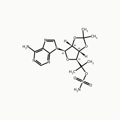 CC1(C)O[C@@H]2[C@H](O1)[C@@H](C(C)(C)OS(N)(=O)=O)O[C@H]2n1cnc2c(N)ncnc21